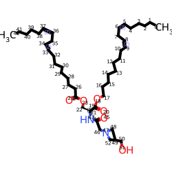 CCCCC/C=C\C/C=C\CCCCCCCCOC(=O)[C@H](COC(=O)CCCCCCC/C=C\C/C=C\CCCCC)NC(=O)CN1CC(CO)C1